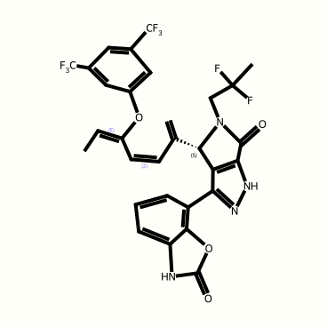 C=C(/C=C\C(=C/C)Oc1cc(C(F)(F)F)cc(C(F)(F)F)c1)[C@H]1c2c(-c3cccc4[nH]c(=O)oc34)n[nH]c2C(=O)N1CC(C)(F)F